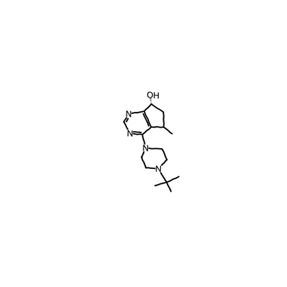 CC1C[C@@H](O)c2ncnc(N3CCN(C(C)(C)C)CC3)c21